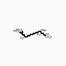 CO[C@H](C/C=C/C=C/CC/C=C/C[C@H](C)/C=C/C(=C/C(=O)O)CC(=O)O)/C(C)=C/C=C(\C)C(=O)O